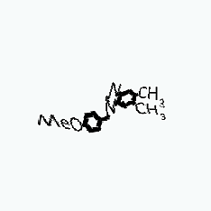 COc1ccc(Cn2cnc3cc(C)c(C)cc32)cc1